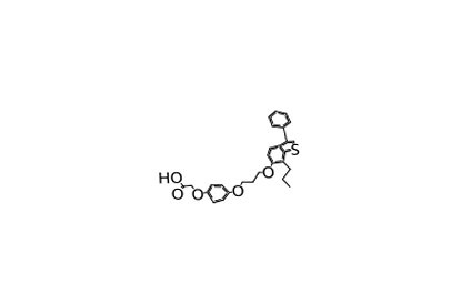 CCCc1c(OCCCOc2ccc(OCC(=O)O)cc2)ccc2c(-c3ccccc3)csc12